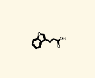 O=C(O)CCc1coc2ccccc12